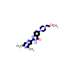 COCCN1CCN(c2ccc3nc(-c4cc5c(C)nc(C)cn5n4)[nH]c(=O)c3c2)CC1